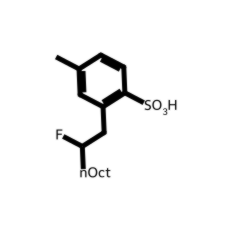 CCCCCCCCC(F)Cc1cc(C)ccc1S(=O)(=O)O